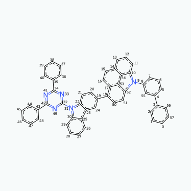 c1ccc(-c2cccc(-n3c4cccc5ccc6c(-c7ccc8c(c7)c7ccccc7n8-c7nc(-c8ccccc8)nc(-c8ccccc8)n7)ccc3c6c54)c2)cc1